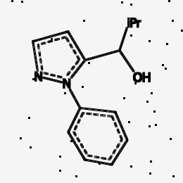 CC(C)C(O)c1ccnn1-c1ccccc1